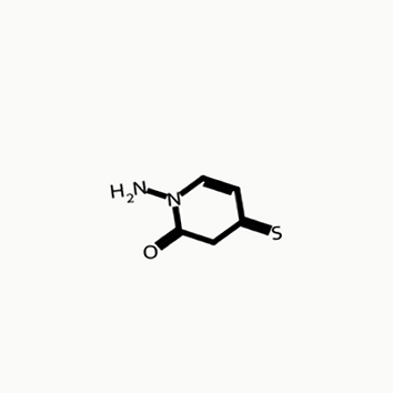 NN1C=CC(=S)CC1=O